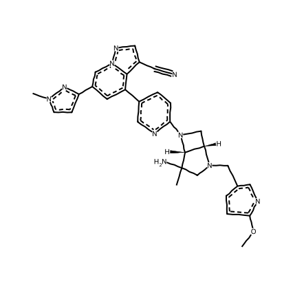 COc1ccc(CN2CC(C)(N)[C@H]3[C@@H]2CN3c2ccc(-c3cc(-c4ccn(C)n4)cn4ncc(C#N)c34)cn2)cn1